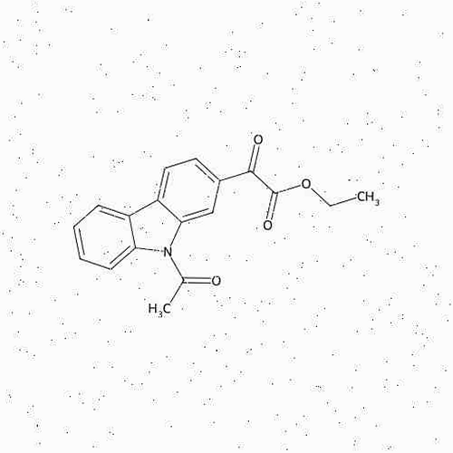 CCOC(=O)C(=O)c1ccc2c3ccccc3n(C(C)=O)c2c1